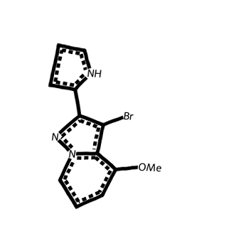 COc1cccn2nc(-c3ccc[nH]3)c(Br)c12